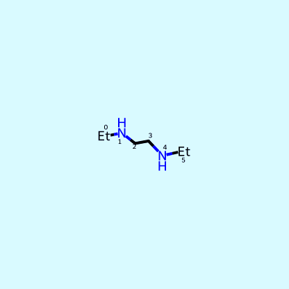 [CH2]CNCCNC[CH2]